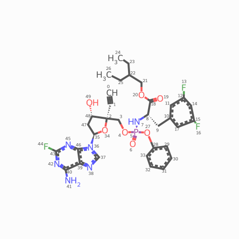 C#C[C@]1(CO[P@@](=O)(N[C@@H](Cc2cc(F)cc(F)c2)C(=O)OCC(CC)CC)Oc2ccccc2)O[C@@H](n2cnc3c(N)nc(F)nc32)C[C@@H]1O